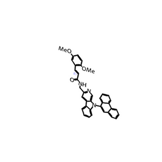 COc1ccc(OC)c(/C=C/C(=O)NCc2cc3c4ccccc4n(-c4cc5ccccc5c5ccccc45)c3cn2)c1